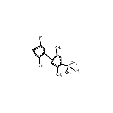 Cc1ccc(C(C)C)cc1-c1cc(C)c([Si](C)(C)C)c[n+]1C